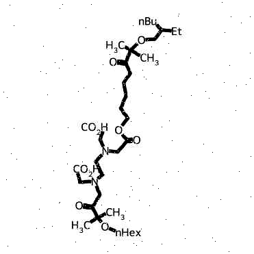 CCCCCCOC(C)(C)C(=O)CN(CCN(CC(=O)O)CC(=O)OCCCCCC(=O)C(C)(C)OCC(CC)CCCC)CC(=O)O